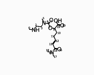 CNCCN(C)C(=O)OC(CC/C=C/C(=O)N(C)C)C(=O)O